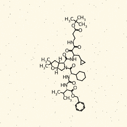 CC(C)[C@H](NC(=O)N[C@H](C(=O)N1C[C@@H]2OC(C)(C)C[C@@H]2[C@H]1C(=O)NC(CC1CC1)C(=O)C(=O)NCCC(=O)OC(C)(C)C)C1CCCCC1)C(=O)OCc1ccccc1